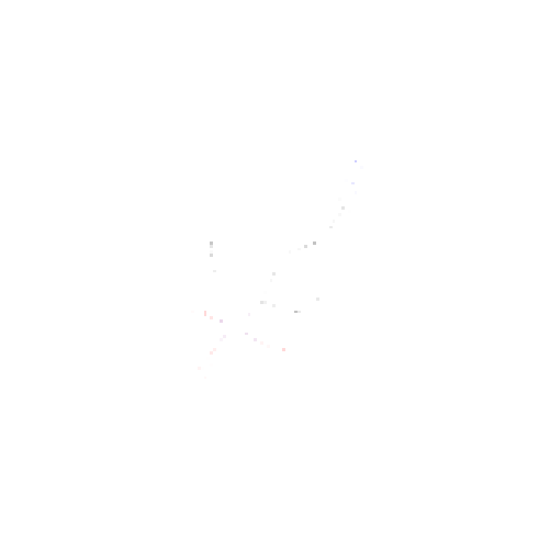 CCC(CC)(CCC#N)P(=O)(O)O